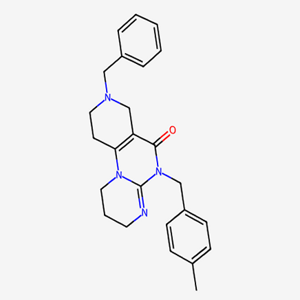 Cc1ccc(CN2C(=O)C3=C(CCN(Cc4ccccc4)C3)N3CCCN=C23)cc1